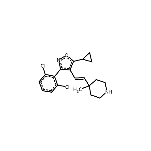 CC1(C=Cc2c(-c3c(Cl)cccc3Cl)noc2C2CC2)CCNCC1